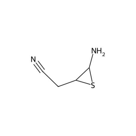 N#CCC1SC1N